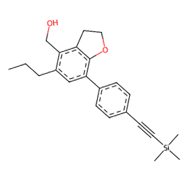 CCCc1cc(-c2ccc(C#C[Si](C)(C)C)cc2)c2c(c1CO)CCO2